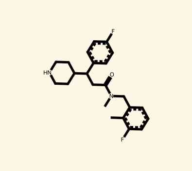 Cc1c(F)cccc1CN(C)C(=O)CC(c1ccc(F)cc1)C1CCNCC1